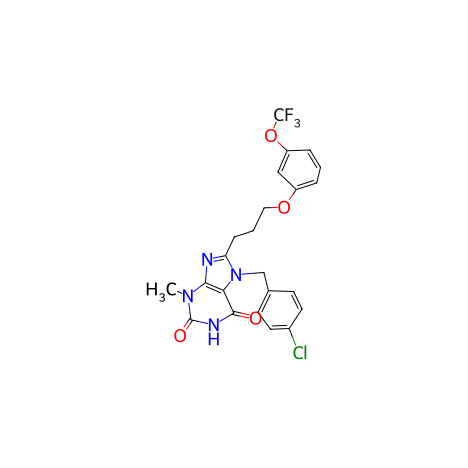 Cn1c(=O)[nH]c(=O)c2c1nc(CCCOc1cccc(OC(F)(F)F)c1)n2Cc1ccc(Cl)cc1